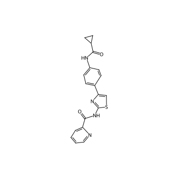 O=C(Nc1nc(-c2ccc(NC(=O)C3CC3)cc2)cs1)c1ccccn1